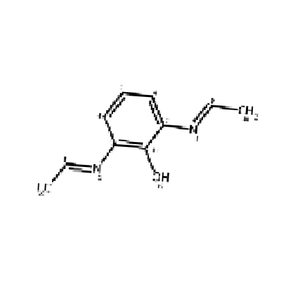 C/C=N/c1cccc(/N=C/C)c1O